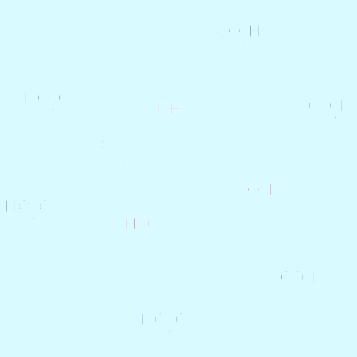 O=C(O)c1cc(C(=O)O)cc(-c2c(O)c(-c3cc(C(=O)O)cc(C(=O)O)c3)c(O)c(-c3cc(C(=O)O)cc(C(=O)O)c3)c2O)c1